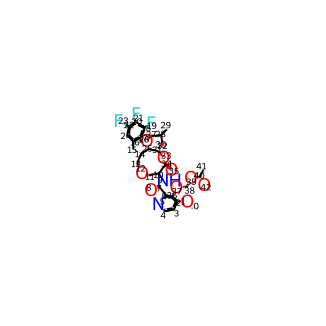 COc1ccnc(C(=O)N[C@H]2COC[C@H](Cc3cc(F)c(F)c(F)c3)[C@@H](OCC(C)C)[C@H](C)OC2=O)c1OCOC(C)=O